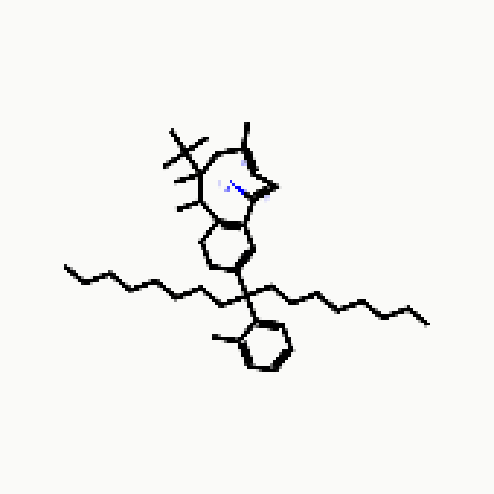 CCCCCCCCC(CCCCCCCC)(C1=CC2=C(CC1)C(C)C(C)(C(C)(C)C)C/C(C)=C/C=C/2N)c1ccccc1C